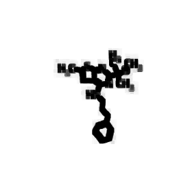 COC(C)(C)c1nc(NCCCc2ccccc2)c2cc(C)sc2n1